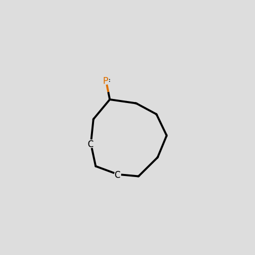 [P]C1CCCCCCCCC1